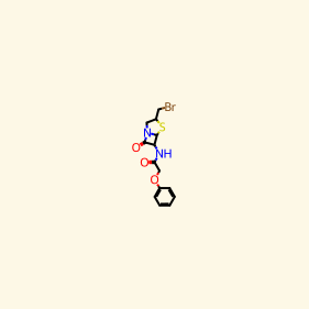 O=C(COc1ccccc1)NC1C(=O)N2CC(CBr)SC12